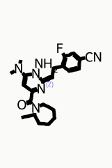 CC1CCCCCN1C(=O)C1=N/C(=C/Cc2ccc(C#N)cc2F)N(N)C(N(C)C)=C1